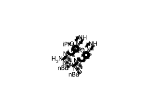 CCCCOc1nc(N)c2ncc(Cc3ccc(N4CCNCC4)c(OC(C)C)c3)n2n1.CCCCOc1nc(N)c2ncc(Cc3ccc(N4CCNCC4)c(OC)c3)n2n1